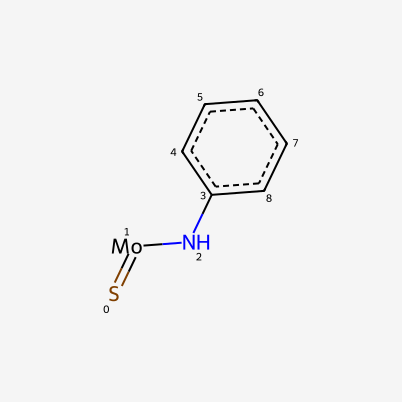 [S]=[Mo][NH]c1ccccc1